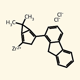 CC1(C)C2=[C]([Zr+2])CC(c3cccc4c3Cc3ccccc3-4)=C21.[Cl-].[Cl-]